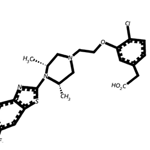 C[C@@H]1CN(CCOc2cc(CC(=O)O)ccc2Cl)C[C@H](C)N1c1nc2ccc(C(F)(F)F)cc2s1